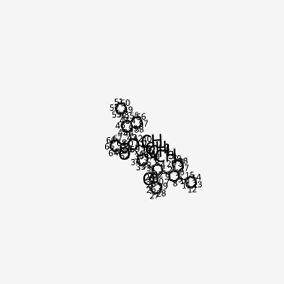 CC1(C)c2cc(-c3ccc(-c4ccccc4)c4ccccc34)c3c(oc4ccccc43)c2-c2ccc3c(c21)C(C)(C)c1cc(-c2ccc(-c4ccccc4)c4ccccc24)c2c(oc4ccccc42)c1-3